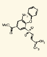 COC(=O)c1cc(N)c(Oc2cccnc2)c(S(=O)(=O)N=CN(C)C)c1